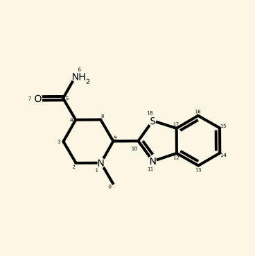 CN1CCC(C(N)=O)CC1c1nc2ccccc2s1